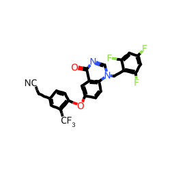 N#CCc1ccc(Oc2ccc3c(c2)c(=O)ncn3Cc2c(F)cc(F)cc2F)c(C(F)(F)F)c1